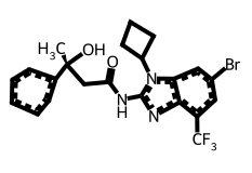 C[C@@](O)(CC(=O)Nc1nc2c(C(F)(F)F)cc(Br)cc2n1C1CCC1)c1ccccc1